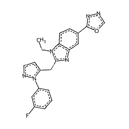 CCn1c(Cc2ccnn2-c2cccc(F)c2)nc2cc(-c3nnco3)ccc21